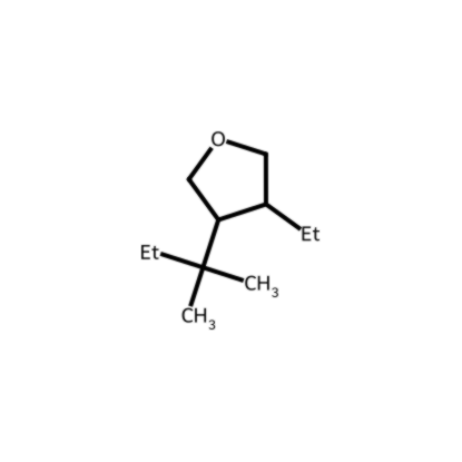 CCC1COCC1C(C)(C)CC